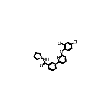 O=C(NN1CCCC1)c1cccc(-c2cccc(Oc3ccc(Cl)cc3Cl)n2)c1